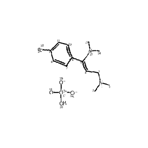 CN(C)CC=C(c1ccc(Br)cc1)N(C)C.[O-][Cl+3]([O-])([O-])O